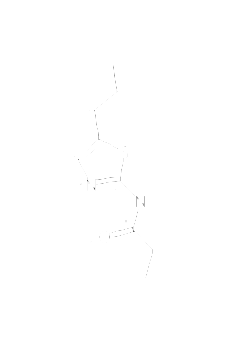 CCCc1cnc([N]C(=O)CC)s1